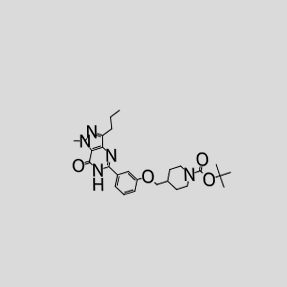 CCCc1nn(C)c2c(=O)[nH]c(-c3cccc(OCC4CCN(C(=O)OC(C)(C)C)CC4)c3)nc12